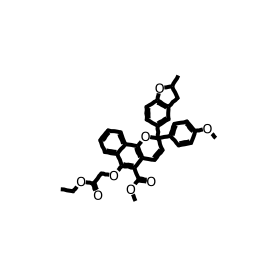 CCOC(=O)COc1c(C(=O)OC)c2c(c3ccccc13)OC(c1ccc(OC)cc1)(c1ccc3c(c1)CC(C)O3)C=C2